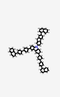 c1ccc2c(-c3ccc(-c4ccc(-c5ccc6c(c5)c5cc(-c7ccc(-c8ccc(-c9cccc%10ccccc9%10)cc8)cc7)ccc5n6-c5ccc6c(c5)Cc5cc(-c7cccc8ccccc78)ccc5-6)cc4)cc3)cccc2c1